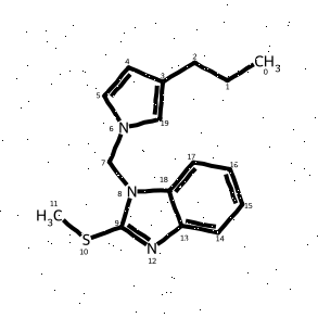 CCCc1ccn(Cn2c(SC)nc3ccccc32)c1